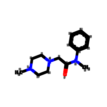 CN1CCN(CC(=O)N(C)c2ccccc2)CC1